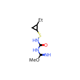 CCC1CC1SNC(=O)NC(=N)OC